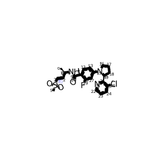 C[C@H](/C=C/S(C)(=O)=O)NC(=O)c1ccc(N2CCC[C@H]2c2ncccc2Cl)cc1F